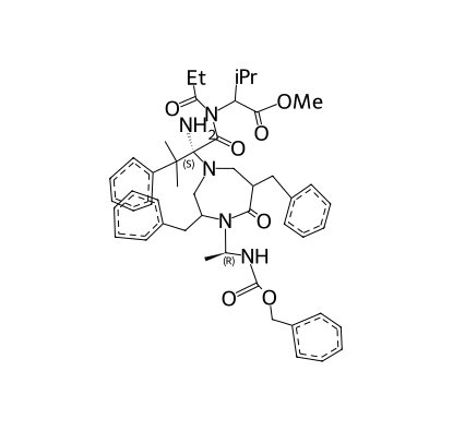 CCC(=O)N(C(=O)[C@@](N)(N1CC(Cc2ccccc2)C(=O)N([C@H](C)NC(=O)OCc2ccccc2)C(Cc2ccccc2)C1)C(C)(C)c1ccccc1)C(C(=O)OC)C(C)C